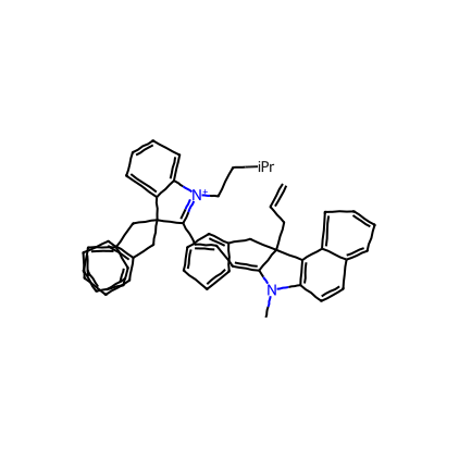 C=CCC1(Cc2ccccc2)/C(=C\C=C\C2=[N+](CCC(C)C)c3ccccc3C2(Cc2ccccc2)Cc2ccccc2)N(C)c2ccc3ccccc3c21